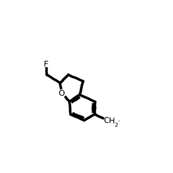 [CH2]c1ccc2c(c1)CCC(CF)O2